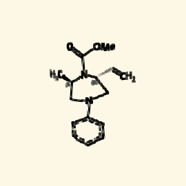 C=C[C@@H]1CN(c2ccccc2)C[C@@H](C)N1C(=O)OC